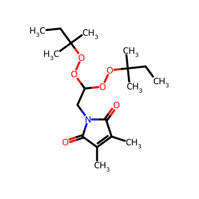 CCC(C)(C)OOC(CN1C(=O)C(C)=C(C)C1=O)OOC(C)(C)CC